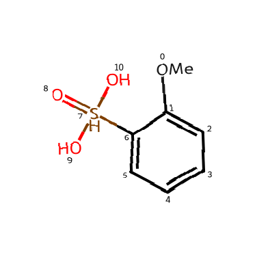 COc1ccccc1[SH](=O)(O)O